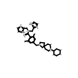 Cc1cc(CN2CCC3(CCN(C4CCCCC4)CC3)C2)cc(C)c1C(=O)N(Cc1ncc[nH]1)Cc1ncc[nH]1